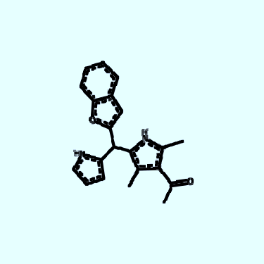 CC(=O)c1c(C)[nH]c(C(c2ccc[nH]2)c2cc3ccccc3o2)c1C